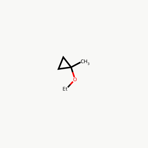 [CH2]COC1(C)CC1